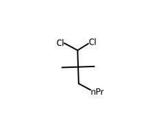 CCCCC(C)(C)C(Cl)Cl